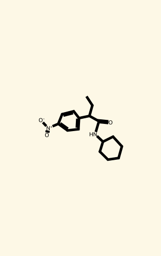 CCC(C(=O)NC1CCCCC1)c1ccc([N+](=O)[O-])cc1